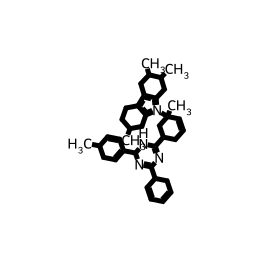 CC1C=CC(C2N=C(C3C=CC=CC3)N=C(C3CC=CC(C)(n4c5c(c6c4CC(C)C(C)C6)CCC(C)C5)C3)N2)=CC1